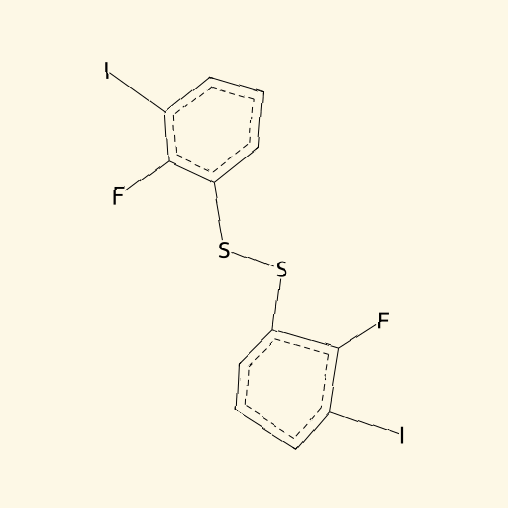 Fc1c(I)cccc1SSc1cccc(I)c1F